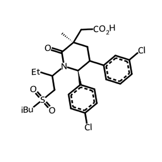 CCC(CS(=O)(=O)C(C)CC)N1C(=O)[C@@](C)(CC(=O)O)CC(c2cccc(Cl)c2)[C@H]1c1ccc(Cl)cc1